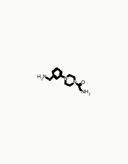 NCC(=O)N1CCN(c2cccc(CN)c2)CC1